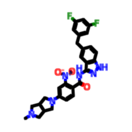 CN1CC2CN(c3ccc(C(=O)Nc4n[nH]c5ccc(Cc6cc(F)cc(F)c6)cc45)c([N+](=O)[O-])c3)CC2C1